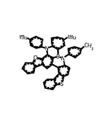 Cc1ccc(N2B3c4cc(C(C)(C)C)ccc4N(c4ccc(C(C)(C)C)cc4)c4c3c(cc3c4oc4ccccc43)-c3c2ccc2sc4ccccc4c32)cc1